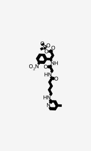 Cc1ccnc(NCCCCC(=O)NCC(=O)NC(CC(=O)OS(C)(=O)=O)c2cccc([N+](=O)[O-])c2)c1